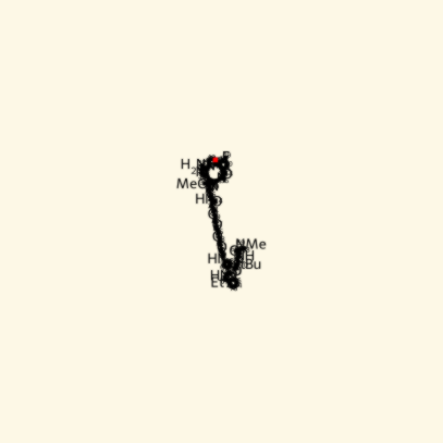 CC[C@H](NC(=O)[C@H]1C[C@@H](NCCOCCOCCOCCOCCC(=O)NCCn2nc3c(c2OC)-c2cnc(N)c(c2)N2CCC[C@@H]2c2cc(F)ccc2C(=O)N(C)C3)CN1C(=O)C(CNC(=O)[C@@H](C)NC)C(C)(C)C)c1ccccc1